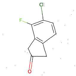 O=C1Cc2ccc(Cl)c(F)c2C1